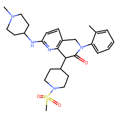 Cc1ccccc1N1Cc2ccc(NC3CCN(C)CC3)nc2C(C2CCN(S(C)(=O)=O)CC2)C1=O